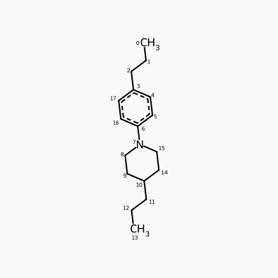 CCCc1ccc(N2CCC(CCC)CC2)cc1